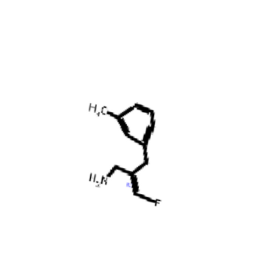 Cc1cccc(C/C(=C\F)CN)c1